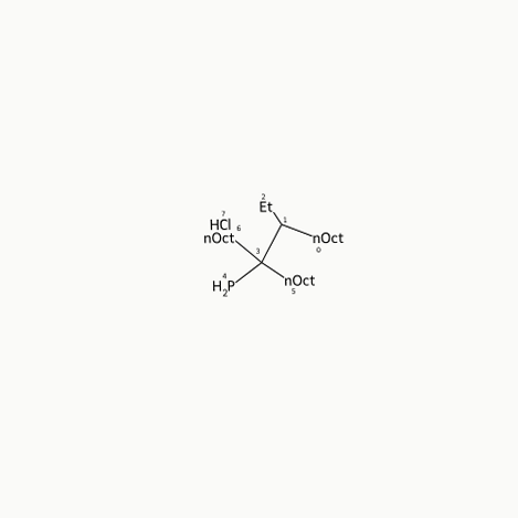 CCCCCCCCC(CC)C(P)(CCCCCCCC)CCCCCCCC.Cl